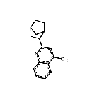 Cc1cc(C2CC3CCC2C3)nc2ccccc12